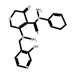 NN(Cc1ccncc1O)C1=C(C(=S)N(N)C2=CCCC=C2)C(=O)COC1